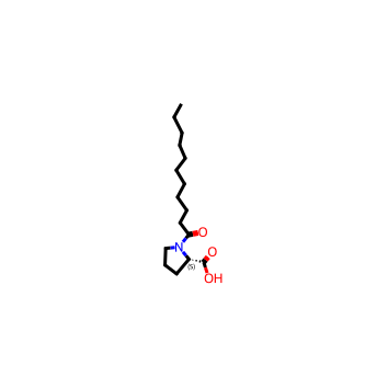 CCCCCCCCCCC(=O)N1CCC[C@H]1C(=O)O